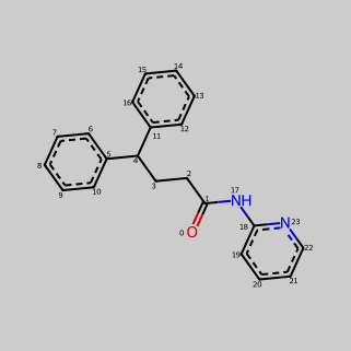 O=C(CCC(c1ccccc1)c1ccccc1)Nc1ccccn1